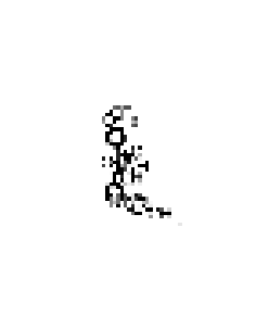 CN1CCN(c2cc(CC3(C)NC(=O)N(c4ccc(OC(F)(F)F)cc4)C3=O)ccn2)CC1